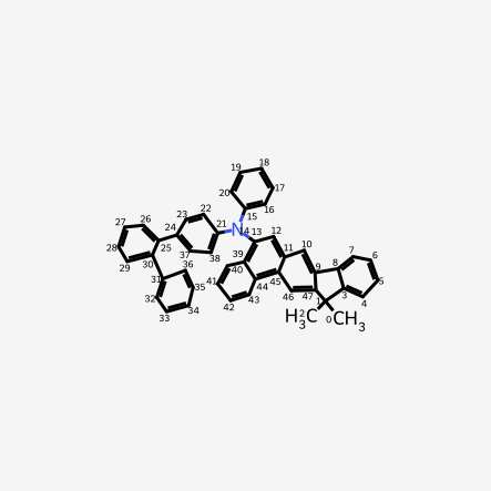 CC1(C)c2ccccc2-c2cc3cc(N(c4ccccc4)c4ccc(-c5ccccc5-c5ccccc5)cc4)c4ccccc4c3cc21